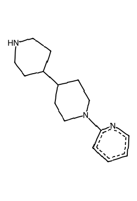 c1ccc(N2CCC(C3CCNCC3)CC2)nc1